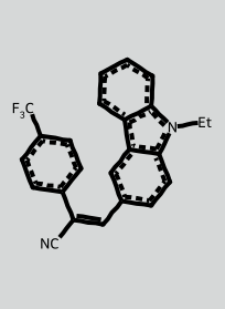 CCn1c2ccccc2c2cc(C=C(C#N)c3ccc(C(F)(F)F)cc3)ccc21